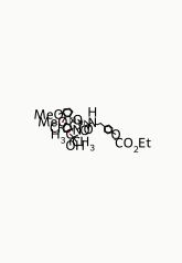 CCOC(=O)COc1ccc(CCNC(=O)C[C@H]2O[C@H](c3cccc(OC)c3OC)c3cc(Cl)ccc3N(CC(C)(C)CO)C2=O)cc1